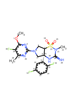 COc1nc(N2CC3[C@](c4cc(F)ccc4F)(C2)NC(=N)N(C)S3(=O)=O)nc(C)c1F